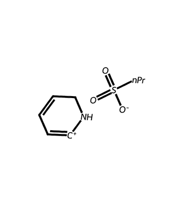 CCCS(=O)(=O)[O-].[C+]1=CC=CCN1